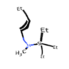 CCC=CN(C)[Si](CC)(CC)CC